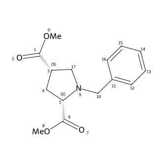 COC(=O)[C@H]1C[C@@H](C(=O)OC)N(Cc2ccccc2)C1